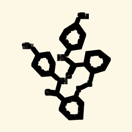 CC(C)(C)c1ccc(NC(=O)c2ccccc2SSc2ccccc2C(=O)Nc2ccc(C(C)(C)C)cc2)cc1